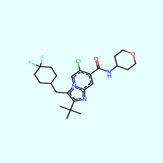 CC(C)(C)c1nc2cc(C(=O)NC3CCOCC3)c(Cl)cn2c1CC1CCC(F)(F)CC1